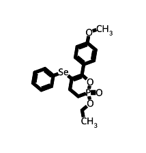 CCOP1(=O)CCC([Se]c2ccccc2)=C(c2ccc(OC)cc2)O1